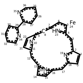 C1=Cc2cc3ccc(cc4nc(cc5ccc(cc1n2)[nH]5)C=C4)[nH]3.[Fe].c1ccc(-c2ccccn2)nc1